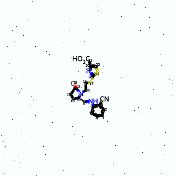 N#Cc1ccccc1NC[C@H]1CCC(=O)N1CCSc1nc(C(=O)O)cs1